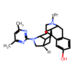 CCCN1CCC23c4cc(O)ccc4CC1C21CCC2C3[C@@H](CN2c2nc(C)cc(C)n2)C1